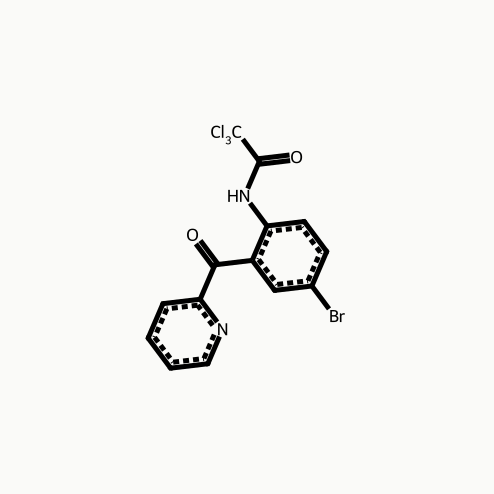 O=C(c1ccccn1)c1cc(Br)ccc1NC(=O)C(Cl)(Cl)Cl